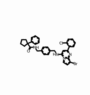 O=C(NCc1ccc(CNc2cc(-c3ccccc3Cl)nc3c(Br)ccn23)cc1)C1(c2ccccc2)CCCC1